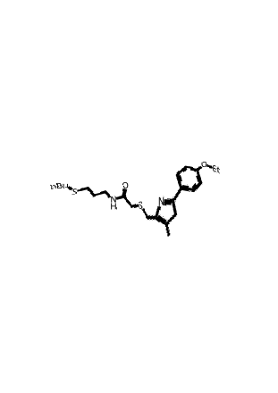 CCCCSCCCNC(=O)CSCC1=C(C)CC(c2ccc(OCC)cc2)=N1